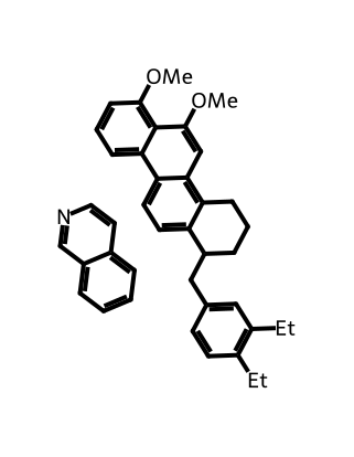 CCc1ccc(CC2CCCc3c2ccc2c3cc(OC)c3c(OC)cccc32)cc1CC.c1ccc2cnccc2c1